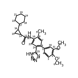 COc1ccc(-c2cc(C)c(NC(=O)C3CC3C3CCCCC3)cc2-c2nnn[nH]2)cc1OC